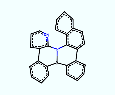 c1ccc2c(c1)B1c3ccccc3-c3ccc4ccccc4c3N1c1ncccc1-2